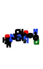 Cc1cc(N2C[C@H]3C[C@H]3C2=O)ncc1C(C)n1cc(C(=O)N[C@@H]2CC[C@H](c3cc(Cl)ccc3C#N)C2)nn1